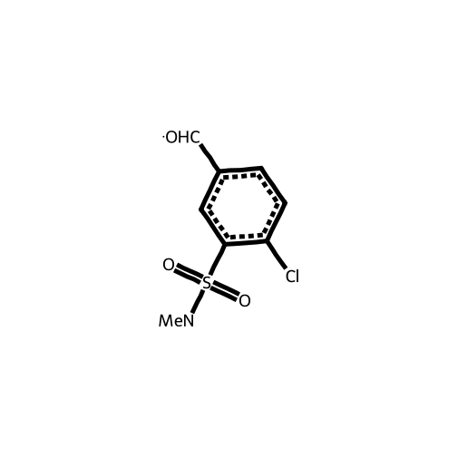 CNS(=O)(=O)c1cc([C]=O)ccc1Cl